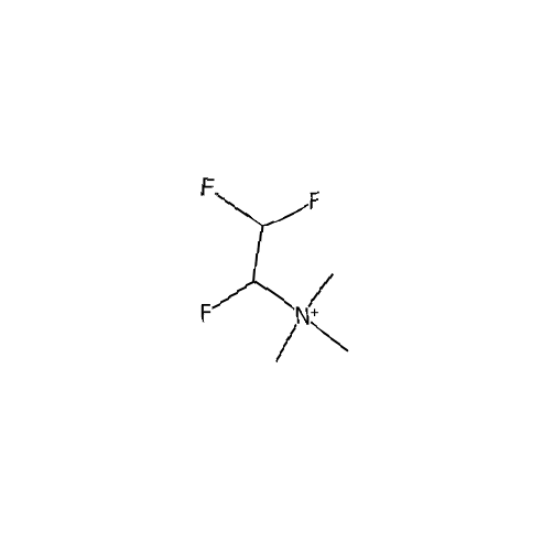 C[N+](C)(C)C(F)C(F)F